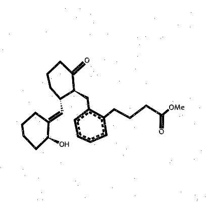 COC(=O)CCCc1ccccc1C[C@@H]1C(=O)CCC[C@H]1/C=C1\CCCC[C@@H]1O